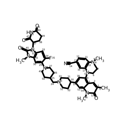 Cc1cc2c(N3CCN(C)c4ccc(C#N)cc43)cc(C3CCN(CC4CCN(c5cc6c(cc5F)n(C5CCC(=O)NC5=O)c(=O)n6C)CC4)CC3)cc2n(C)c1=O